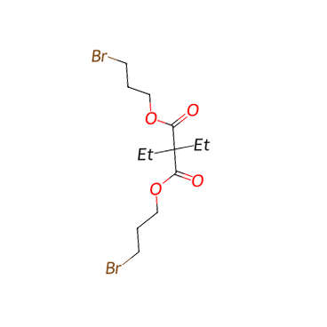 CCC(CC)(C(=O)OCCCBr)C(=O)OCCCBr